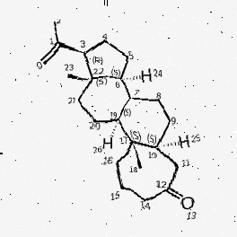 C=C(C)[C@H]1CC[C@H]2C3CC[C@H]4CC(=O)CCC[C@]4(C)[C@H]3CC[C@]12C